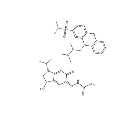 CC(C)N1CC(O)C2=C/C(=N/NC(N)=O)C(=O)C=C21.CC(CN1c2ccccc2Sc2ccc(S(=O)(=O)N(C)C)cc21)N(C)C